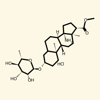 COC(=O)[C@H]1CC[C@]2(N)[C@@H]3CCC4C[C@@H](O[C@@H]5O[C@@H](C)[C@H](O)[C@@H](O)[C@H]5O)CC[C@]4(C)[C@H]3CC[C@]12C.Cl